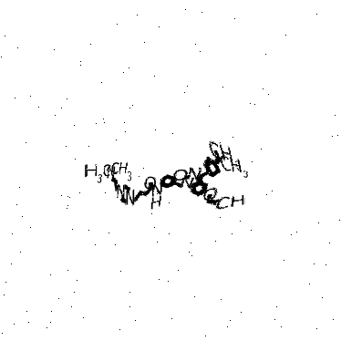 C#CCOc1ccc2c(c1)c(-c1ccc(C(C)C)cc1)nc(=O)n2Cc1cccc(NC(=O)CCCN2CCN(CCCN(C)C)CC2)c1